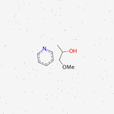 COCC(C)O.c1ccncc1